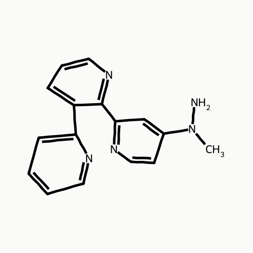 CN(N)c1ccnc(-c2ncccc2-c2ccccn2)c1